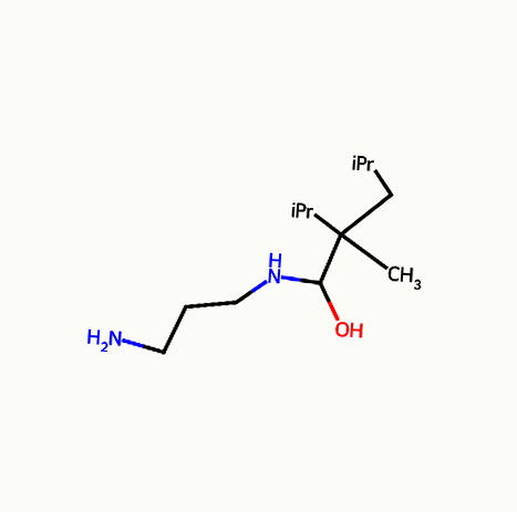 CC(C)CC(C)(C(C)C)C(O)NCCCN